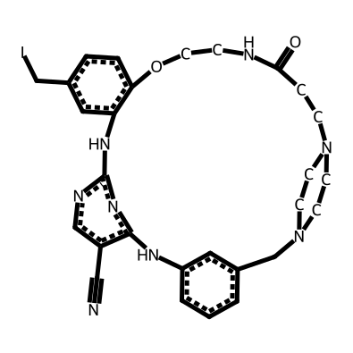 N#Cc1cnc2nc1Nc1cccc(c1)CN1CCN(CCC(=O)NCCOc3ccc(CI)cc3N2)CC1